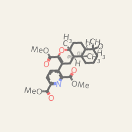 COC(=O)C1=C(c2ccc(C(=O)OC)nc2C(=O)OC)C[C@@H]2[C@@]3(C)CCCC(C)(C)[C@@H]3CC[C@@]2(C)O1